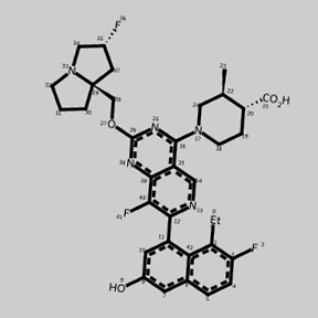 CCc1c(F)ccc2cc(O)cc(-c3ncc4c(N5CC[C@@H](C(=O)O)[C@H](C)C5)nc(OC[C@@]56CCCN5C[C@H](F)C6)nc4c3F)c12